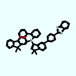 CC1(C)C=C(N(c2ccc3c(c2)C(C)(C)c2ccccc2-3)c2ccccc2-c2ccccc2)c2cc(-c3ccc(-c4nc5ccccc5s4)cc3)ccc21